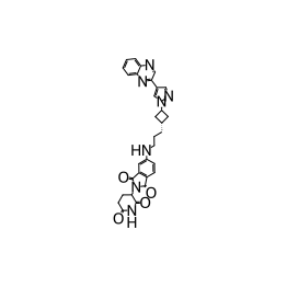 O=C1CCC(N2C(=O)c3ccc(NCCC[C@H]4C[C@H](n5cc(-c6cnc7ccccc7n6)cn5)C4)cc3C2=O)C(=O)N1